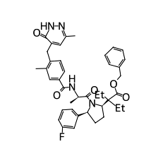 CCC(CC)(C(=O)OCc1ccccc1)[C@H]1CC[C@@H](c2cccc(F)c2)N1C(=O)[C@@H](C)NC(=O)c1ccc(Cc2cc(C)n[nH]c2=O)c(C)c1